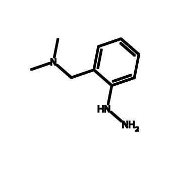 CN(C)Cc1ccccc1NN